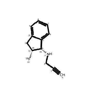 C#CCN[C@H]1c2ccccc2C[C@H]1[18F]